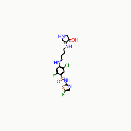 [O-][S+](Nc1ncc(F)s1)c1cc(Cl)c(NCCCCN[C@@H]2CNC[C@H]2O)cc1F